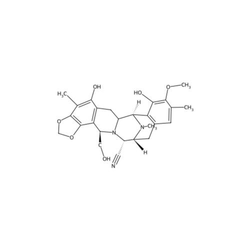 COc1c(C)cc2c(c1O)[C@@H]1C3Cc4c(O)c(C)c5c(c4[C@H](CO)N3[C@@H](C#N)[C@@H](C2)N1C)OCO5